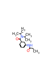 CCC(=O)NC1=CC=CC(C(=O)N(C(C)C)C(C)C)C1